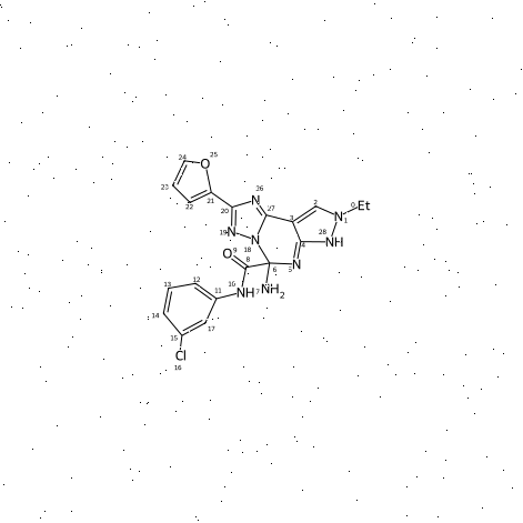 CCN1C=C2C(=NC(N)(C(=O)Nc3cccc(Cl)c3)n3nc(-c4ccco4)nc32)N1